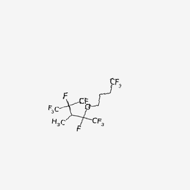 CC(C(F)(OCCCC(F)(F)F)C(F)(F)F)C(F)(C(F)(F)F)C(F)(F)F